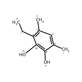 CCc1c(C)cc(C)c(O)c1O